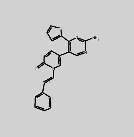 Nc1ncc(-c2ccc(=O)n(/C=C/c3ccccc3)c2)c(-c2ccco2)n1